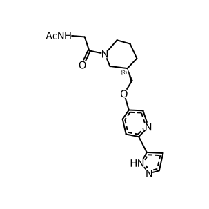 CC(=O)NCC(=O)N1CCC[C@@H](COc2ccc(-c3ccn[nH]3)nc2)C1